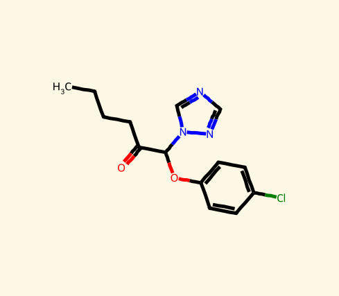 CCCCC(=O)C(Oc1ccc(Cl)cc1)n1cncn1